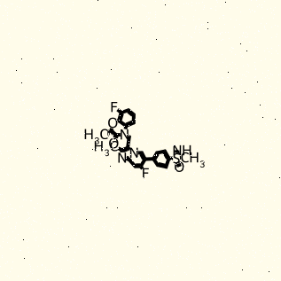 Cc1nc2cc(F)c(-c3ccc(S(C)(=N)=O)cc3)cn2c1CN1C(=O)[C@@H](C)Oc2c(F)cccc21